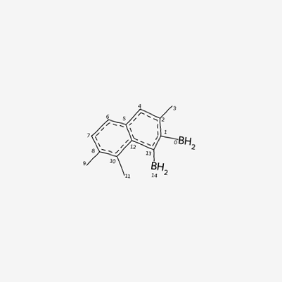 Bc1c(C)cc2ccc(C)c(C)c2c1B